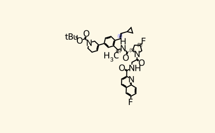 C[C@H](NC(=O)[C@@H]1C[C@@H](F)CN1C(=O)CNC(=O)c1ccc2cc(F)ccc2n1)c1cc(C2=CCCN(C(=O)OC(C)(C)C)C2)ccc1/C=C/C1CC1